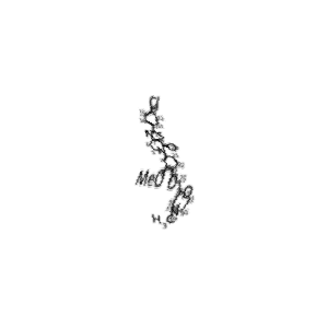 COc1cc(N2CCc3nc(-c4ccc(Cl)cc4)sc3C2=O)ccc1OCC1CN(C)CCO1